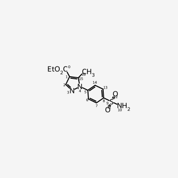 CCOC(=O)c1cnn(-c2ccc(S(N)(=O)=O)cc2)c1C